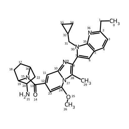 CCc1ccc2cc(-c3nc4cc(C(=O)N5C6CCC5C(N)C6)cc(OC)n4c3C)n(CC3CC3)c2n1